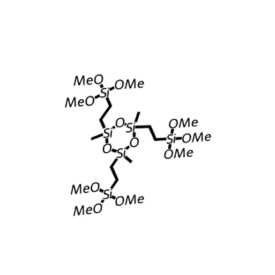 CO[Si](CC[Si]1(C)O[Si](C)(CC[Si](OC)(OC)OC)O[Si](C)(CC[Si](OC)(OC)OC)O1)(OC)OC